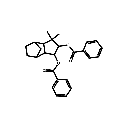 CC1(C)C(OC(=O)c2ccccc2)C(OC(=O)c2ccccc2)C2C3CCC(C3)C21